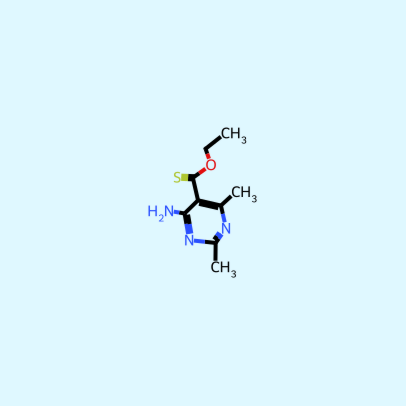 CCOC(=S)c1c(C)nc(C)nc1N